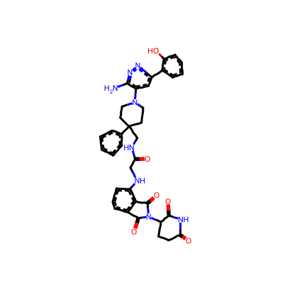 Nc1nnc(-c2ccccc2O)cc1N1CCC(CNC(=O)CNc2cccc3c2C(=O)N(C2CCC(=O)NC2=O)C3=O)(c2ccccc2)CC1